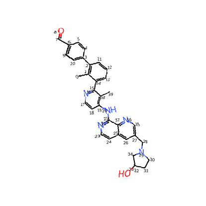 Cc1c(-c2ccc(C=O)cc2)cccc1-c1nccc(Nc2nccc3cc(CN4CCC(O)C4)cnc23)c1C